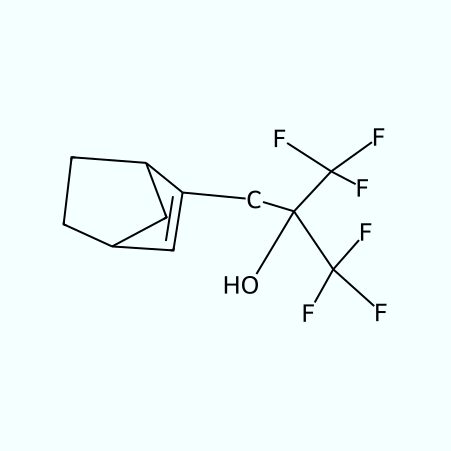 OC(CC1=CC2CCC1C2)(C(F)(F)F)C(F)(F)F